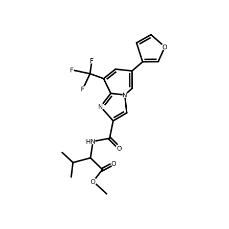 COC(=O)C(NC(=O)c1cn2cc(-c3ccoc3)cc(C(F)(F)F)c2n1)C(C)C